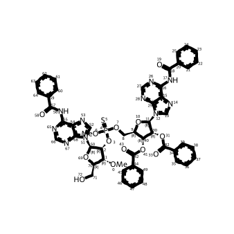 CO[C@H]1[C@@H](OP(=S)(OC)OC[C@H]2O[C@@H](n3cnc4c(NC(=O)c5ccccc5)ncnc43)[C@H](OC(=O)c3ccccc3)[C@@H]2OC(=O)c2ccccc2)[C@H](n2cnc3c(NC(=O)c4ccccc4)ncnc32)O[C@@H]1CO